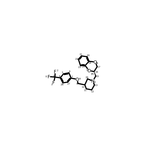 FC(F)(F)c1ccc(OCC2CCCN(C[C@@H]3COc4ccccc4O3)C2)cc1